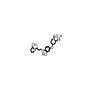 CCC1CC(Oc2ccc(OCCCN3CCC[C@H]3C)cc2)CCN1C(=O)O.Cl